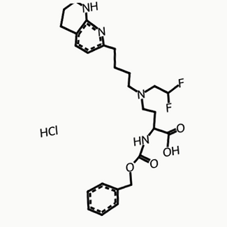 Cl.O=C(NC(CCN(CCCCc1ccc2c(n1)NCCC2)CC(F)F)C(=O)O)OCc1ccccc1